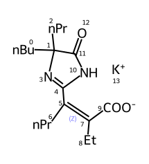 CCCCC1(CCC)N=C(/C(CCC)=C(/CC)C(=O)[O-])NC1=O.[K+]